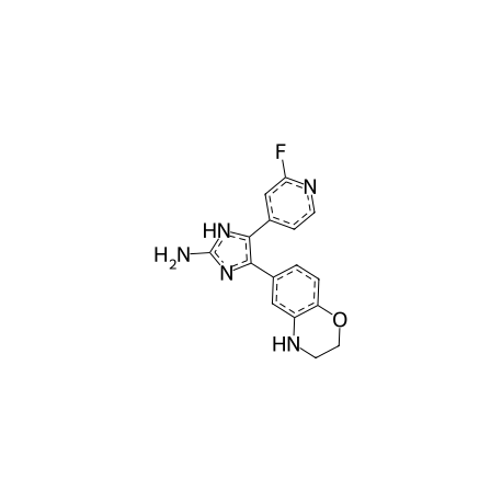 Nc1nc(-c2ccc3c(c2)NCCO3)c(-c2ccnc(F)c2)[nH]1